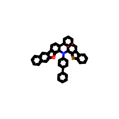 c1ccc(-c2ccc(N(c3c(-c4ccccc4)ccc4c3oc3cc5ccccc5cc34)c3cccc4c3sc3ccccc34)cc2)cc1